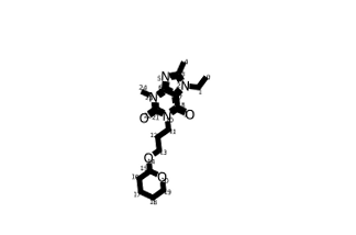 CCn1c(C)nc2c1c(=O)n(CCCOC1CCCCO1)c(=O)n2C